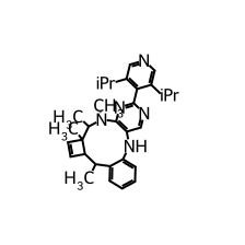 CC(C)c1cncc(C(C)C)c1-c1ncc2c(n1)N(C)C(C)C1(C)C=CC1C(C)c1ccccc1N2